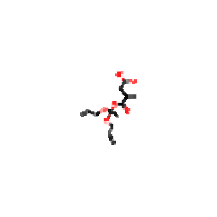 C=CCOC(C)(OCC=C)OC(=O)C(=C)CC(=O)O